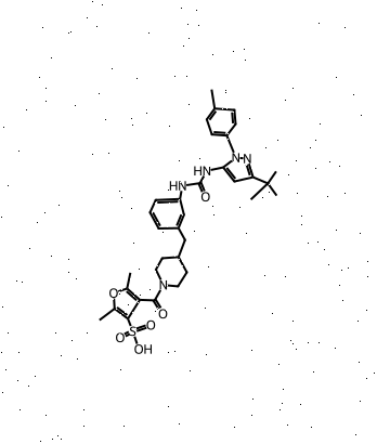 Cc1ccc(-n2nc(C(C)(C)C)cc2NC(=O)Nc2cccc(CC3CCN(C(=O)c4c(C)oc(C)c4S(=O)(=O)O)CC3)c2)cc1